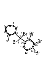 Cc1ccccc1C(Br)(Br)c1ccc(Br)c(Br)c1Br